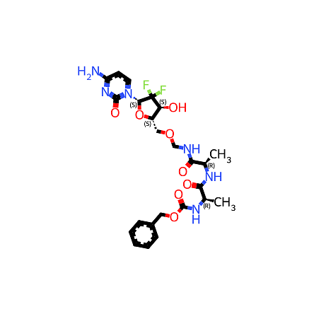 C[C@@H](NC(=O)OCc1ccccc1)C(=O)N[C@H](C)C(=O)NCOC[C@@H]1O[C@H](n2ccc(N)nc2=O)C(F)(F)[C@H]1O